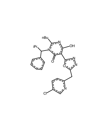 CCCCc1nc(O)c(-c2nnc(Cc3ccc(Cl)cn3)o2)c(=O)n1C(c1ccccc1)C(C)C